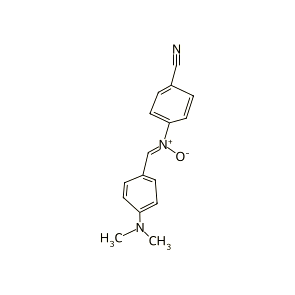 CN(C)c1ccc(C=[N+]([O-])c2ccc(C#N)cc2)cc1